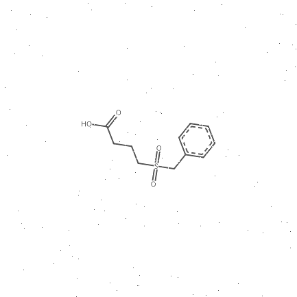 O=C(O)CCCS(=O)(=O)Cc1ccccc1